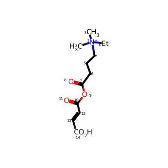 CC[N+](C)(C)CCCC(=O)OC(=O)/C=C/C(=O)O